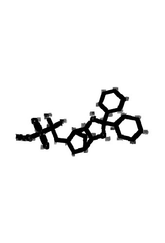 COS(=O)(=O)C(F)(F)CC1CC2CC1C1OC(C3CCCCC3)(C3CCCCC3)OC21